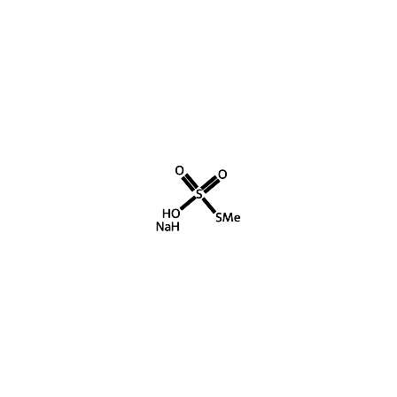 CSS(=O)(=O)O.[NaH]